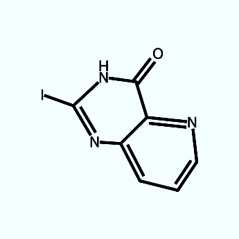 O=c1[nH]c(I)nc2cccnc12